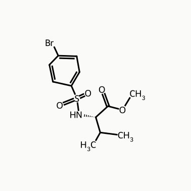 COC(=O)[C@@H](NS(=O)(=O)c1ccc(Br)cc1)C(C)C